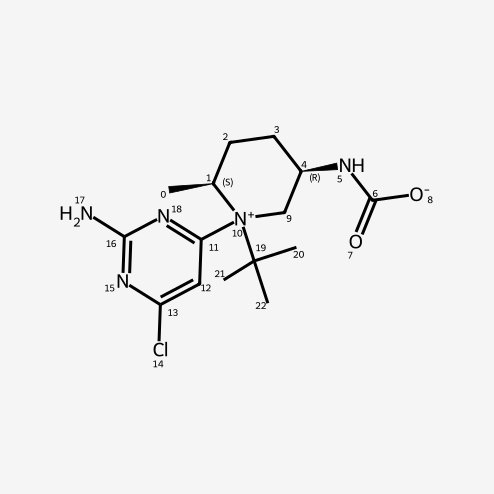 C[C@H]1CC[C@@H](NC(=O)[O-])C[N+]1(c1cc(Cl)nc(N)n1)C(C)(C)C